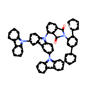 O=C1c2cccc(-n3c4ccc(-n5c6ccccc6c6ccccc65)cc4c4cc(-n5c6ccccc6c6ccccc65)ccc43)c2C(=O)N1c1cc(-c2ccccc2)ccc1-c1ccccc1